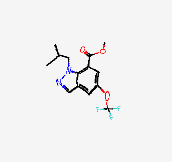 COC(=O)c1cc(OC(F)(F)F)cc2cnn(CC(C)C)c12